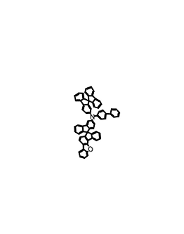 c1ccc(-c2ccc(N(c3ccc4c(c3)-c3ccccc3C43c4ccccc4-c4c3ccc3c4oc4ccccc43)c3ccc4c(c3)C3(c5ccccc5-c5ccccc53)c3ccccc3-4)cc2)cc1